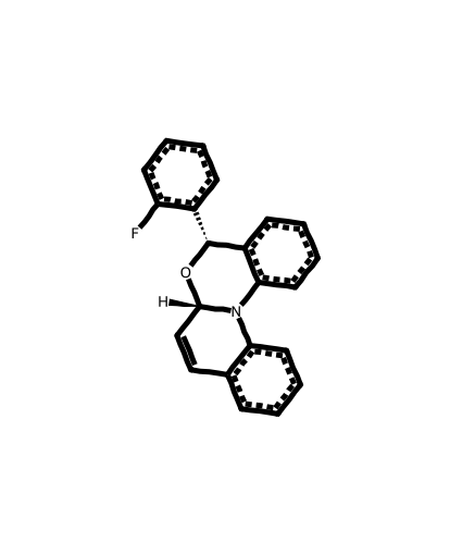 Fc1ccccc1[C@H]1O[C@H]2C=Cc3ccccc3N2c2ccccc21